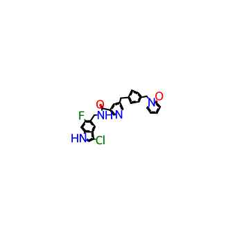 O=C(NCc1cc2c(Cl)c[nH]c2cc1F)c1cncc(Cc2ccc(Cn3ccccc3=O)cc2)c1